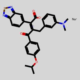 CC(C)Oc1ccc(C(=O)/C(Cc2cccc(N(C)C)c2)=C(/C(=O)[O-])c2ccc3nsnc3c2)cc1.[Na+]